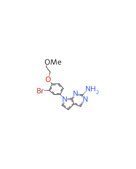 COCCOc1ccc(-n2ccc3cnc(N)nc32)cc1Br